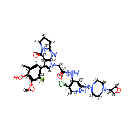 COc1c(O)c(C)cc(-c2cn(CC(=O)NC3=C(Cl)CNC(N4CCN(C5COC5)CC4)=C3)c3nc4n(c(=O)c23)CCC4)c1F